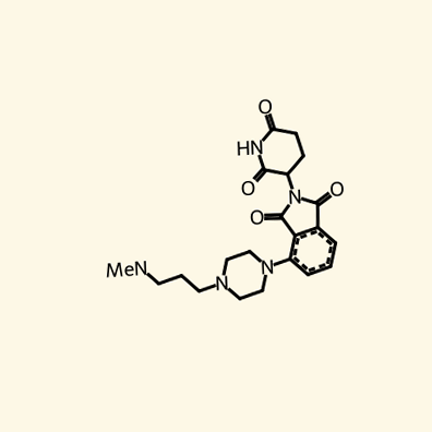 CNCCCN1CCN(c2cccc3c2C(=O)N(C2CCC(=O)NC2=O)C3=O)CC1